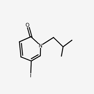 CC(C)Cn1cc(I)ccc1=O